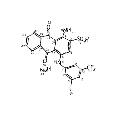 Nc1c(S(=O)(=O)O)cc(Nc2cc(F)cc(C(F)(F)F)c2)c2c1C(=O)c1ccccc1C2=O.[NaH]